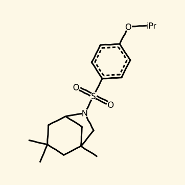 CC(C)Oc1ccc(S(=O)(=O)N2CC3(C)CC2CC(C)(C)C3)cc1